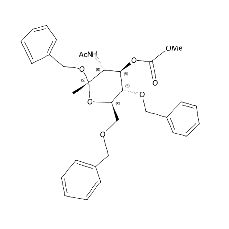 COC(=O)O[C@H]1[C@H](OCc2ccccc2)[C@@H](COCc2ccccc2)O[C@](C)(OCc2ccccc2)[C@@H]1NC(C)=O